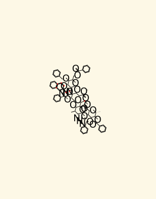 CCC1O[C@@H](O[C@H]2C(C(=O)OC)O[C@H](C)C(OC(=O)c3ccccc3)[C@@H]2OCc2ccccc2)[C@@H](N=[N+]=[N-])C(C)[C@@H]1O[C@@H]1OC(C(=O)OC)[C@@H](O[C@H]2OC(COC(=O)c3ccccc3)[C@H](OCc3ccccc3)[C@@H](OCc3ccccc3)C2N=[N+]=[N-])[C@@H](OCc2ccccc2)C1OCc1ccccc1